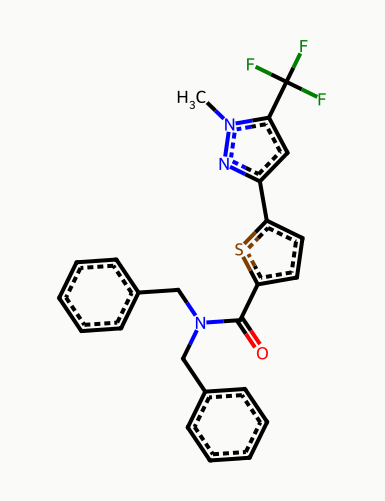 Cn1nc(-c2ccc(C(=O)N(Cc3ccccc3)Cc3ccccc3)s2)cc1C(F)(F)F